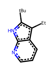 CCc1c(C(C)(C)C)[nH]c2ncccc12